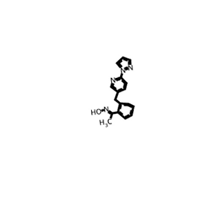 CC(=NO)c1ccccc1Cc1ccc(-n2cccn2)nc1